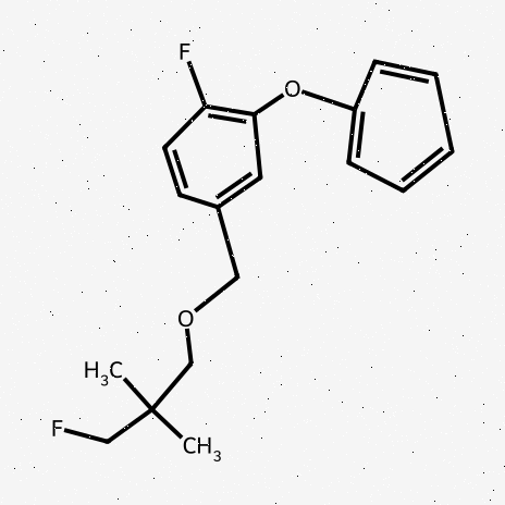 CC(C)(CF)COCc1ccc(F)c(Oc2ccccc2)c1